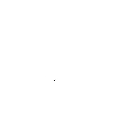 Cc1cc2c(cc1[C@@H]1C[C@H]1C(N)=O)OC(C)(C)C2